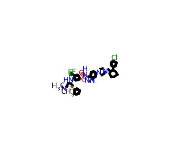 CN(C)CCC(CSc1ccccc1)Nc1ccc(S(=O)(=O)Nc2ncnc3cc(N4CCN(CC5=C(c6ccc(Cl)cc6)CCCCC5)CC4)ccc23)cc1C(F)(F)F